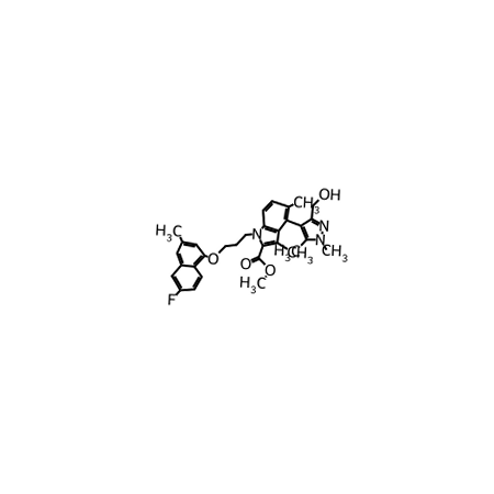 COC(=O)c1c(C)c2c(-c3c(CO)nn(C)c3C)c(C)ccc2n1CCCOc1cc(C)cc2cc(F)ccc12